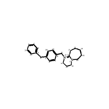 c1ccc(Cc2ccc(C[N+]3=C4CCCCCN4CCC3)cc2)cc1